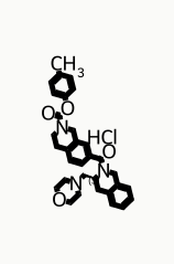 Cc1ccc(OC(=O)N2CCc3ccc(C(=O)N4Cc5ccccc5C[C@H]4CN4CCOCC4)cc3C2)cc1.Cl